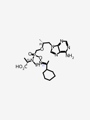 C/C(=N\OP(=O)(CO[C@H](C)Cn1cnc2c(N)ncnc21)N(C(C)C)[C@@H](C)C(=O)O)C1CCCCC1